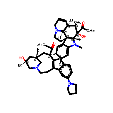 CC[C@]1(O)C[C@H]2CN(CCC3=C(Bc4ccc(N5CCCC5)cc43)[C@@](C(=O)OC)(C3C=C4C(=CC3OC)N(C)[C@H]3[C@@](O)(C(=O)OC)[C@H](OC(C)=O)[C@]5(CC)C=CCN6CC[C@]43[C@@H]65)C2)C1